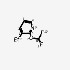 CCc1cccnc1OC(F)F